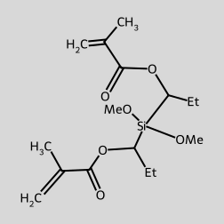 C=C(C)C(=O)OC(CC)[Si](OC)(OC)C(CC)OC(=O)C(=C)C